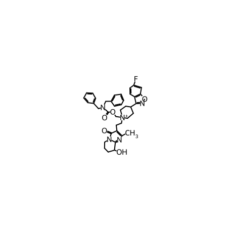 Cc1nc2n(c(=O)c1CC[N+]1(COC(=O)N(Cc3ccccc3)Cc3ccccc3)CCC(c3noc4cc(F)ccc34)CC1)CCCC2O